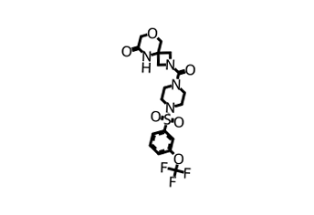 O=C1COCC2(CN(C(=O)N3CCN(S(=O)(=O)c4cccc(OC(F)(F)F)c4)CC3)C2)N1